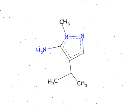 CC(C)c1cnn(C)c1N